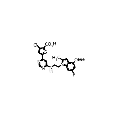 COc1cc(F)cc2c1cc(C)n2CCNc1cc(-c2cc(Cl)c(C(=O)O)s2)ncn1